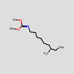 [CH2]SC[C@@H](C)CCCCCCN=C(OCC)OC(C)(C)C